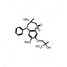 CCCC[C@@]1(C)CN(c2ccccc2)c2cc(SC)c(OCC(C)(O)C(=O)O)cc2S(=O)(=O)C1